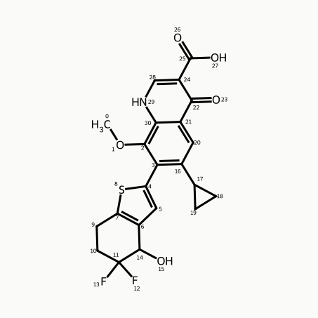 COc1c(-c2cc3c(s2)CCC(F)(F)C3O)c(C2CC2)cc2c(=O)c(C(=O)O)c[nH]c12